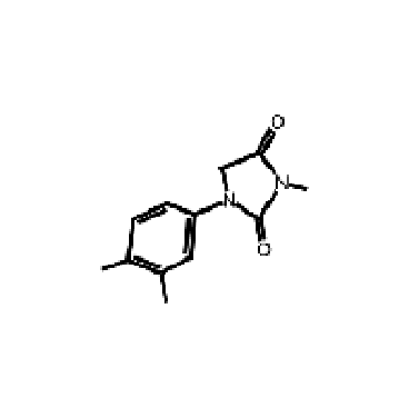 Cc1ccc(N2CC(=O)N(C)C2=O)cc1C